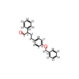 O=CC(CCc1ccc(OCc2ccccc2)cc1)c1ccccc1